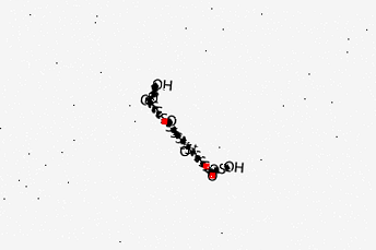 O=C(CSCSCSCC[S+]([O-])CSCSCSCSC(=O)CSCSCSCC(=O)OCSCO)OCSCO